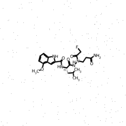 COc1cccc2[nH]c(C(=O)N[C@@H](CC(C)C)C(=O)NN(CCC(N)=O)C(=O)CF)cc12